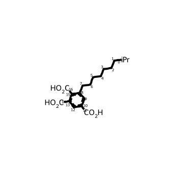 CC(C)CCCCCCCc1cc(C(=O)O)cc(C(=O)O)c1C(=O)O